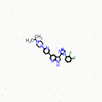 CC(C)N1CCN(c2ccc(-c3cnc4c(c3)C(c3nncn3-c3cccc(F)c3F)CN4)cn2)CC1